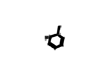 CB1C=CC=CC1.[LiH]